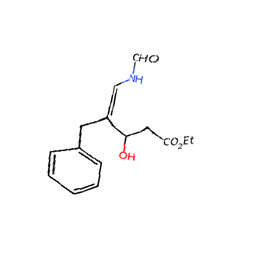 CCOC(=O)CC(O)C(=CNC=O)Cc1ccccc1